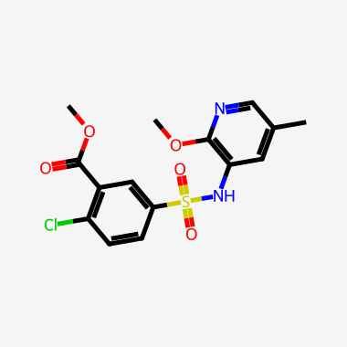 COC(=O)c1cc(S(=O)(=O)Nc2cc(C)cnc2OC)ccc1Cl